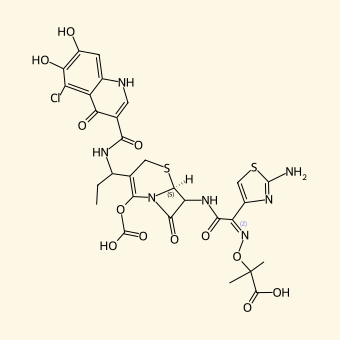 CCC(NC(=O)c1c[nH]c2cc(O)c(O)c(Cl)c2c1=O)C1=C(OC(=O)O)N2C(=O)C(NC(=O)/C(=N\OC(C)(C)C(=O)O)c3csc(N)n3)[C@@H]2SC1